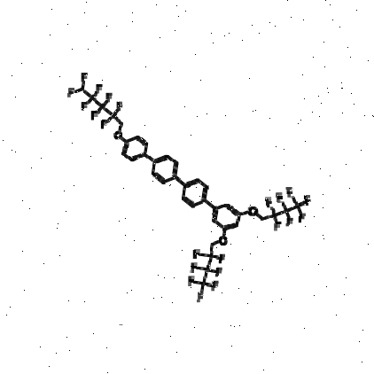 FC(F)C(F)(F)C(F)(F)C(F)(F)COc1ccc(-c2ccc(-c3ccc(-c4cc(OCC(F)(F)C(F)(F)C(F)(F)F)cc(OCC(F)(F)C(F)(F)C(F)(F)F)c4)cc3)cc2)cc1